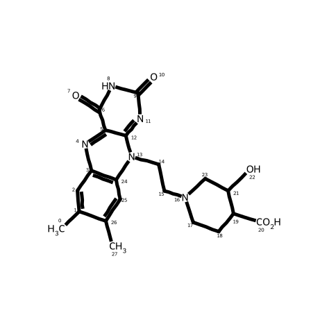 Cc1cc2nc3c(=O)[nH]c(=O)nc-3n(CCN3CCC(C(=O)O)C(O)C3)c2cc1C